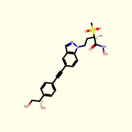 C[C@@](CCn1ncc2cc(C#Cc3ccc([C@H](O)CO)cc3)ccc21)(C(=O)NO)S(C)(=O)=O